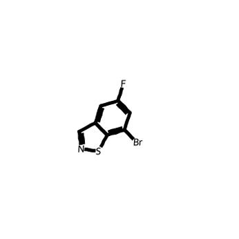 Fc1cc(Br)c2sncc2c1